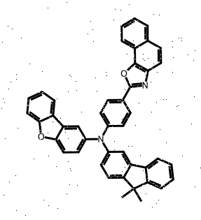 CC1(C)c2ccccc2-c2cc(N(c3ccc(-c4nc5ccc6ccccc6c5o4)cc3)c3ccc4oc5ccccc5c4c3)ccc21